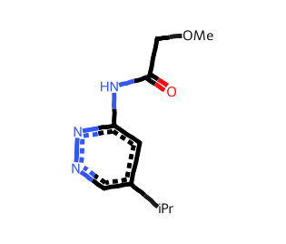 COCC(=O)Nc1cc(C(C)C)cnn1